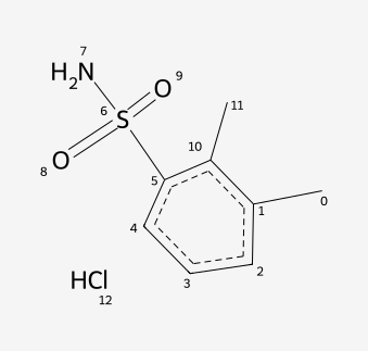 Cc1cccc(S(N)(=O)=O)c1C.Cl